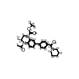 CC(=O)N1c2ccc(-c3ccc(C(=O)N4CCCCC4)cc3)cc2N(C(=O)OC(C)C)C[C@@H]1C